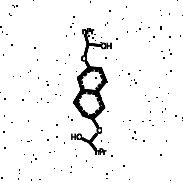 CCCC(O)Oc1ccc2cc(OC(O)CCC)ccc2c1